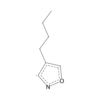 CCCCc1[c]noc1